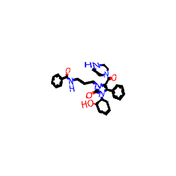 O=C(NCCCn1c(C(=O)N2CCNCC2)c(-c2ccccc2)n(C2CCCC[C@H]2O)c1=O)c1ccccc1